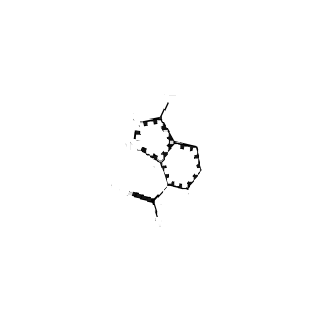 [2H]c1[nH]nc2c(C(N)=O)cccc12